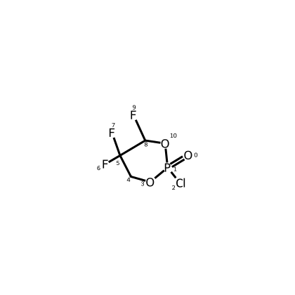 O=P1(Cl)OCC(F)(F)C(F)O1